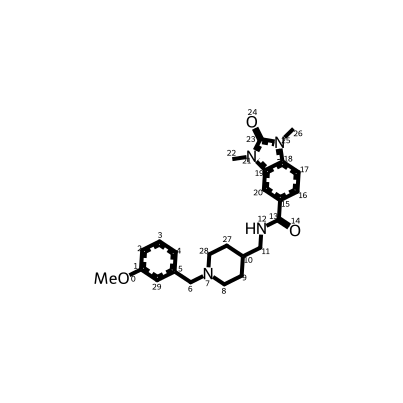 COc1cccc(CN2CCC(CNC(=O)c3ccc4c(c3)n(C)c(=O)n4C)CC2)c1